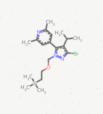 Cc1cc(-c2c(C(C)C)c(Br)nn2COCC[Si](C)(C)C)cc(C)n1